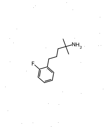 CC(C)(N)CCCc1ccccc1F